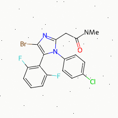 CNC(=O)Cc1nc(Br)c(-c2c(F)cccc2F)n1-c1ccc(Cl)cc1